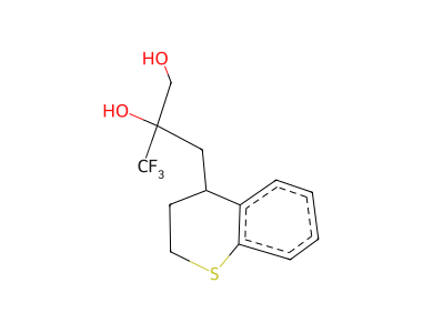 OCC(O)(CC1CCSc2ccccc21)C(F)(F)F